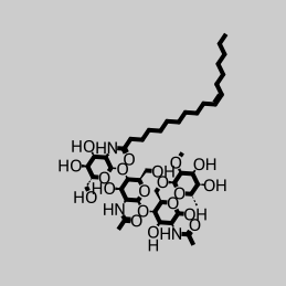 CCCCCC/C=C\CCCCCCCCCC(=O)N[C@H]1[C@H](O[C@H]2[C@H](O)[C@@H](NC(C)=O)[C@H](O[C@H]3[C@H](O)[C@@H](NC(C)=O)C(O)O[C@@H]3CO[C@@H]3O[C@@H](C)[C@@H](O)[C@@H](O)[C@@H]3OC)O[C@@H]2CO)O[C@H](CO)[C@@H](O)[C@@H]1O